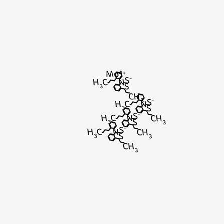 CCCCc1ccccc1N(C(=S)[S-])c1ccccc1CCCC.CCCCc1ccccc1N(C(=S)[S-])c1ccccc1CCCC.CCCCc1ccccc1N(C(=S)[S-])c1ccccc1CCCC.CCCCc1ccccc1N(C(=S)[S-])c1ccccc1CCCC.[Mo+4]